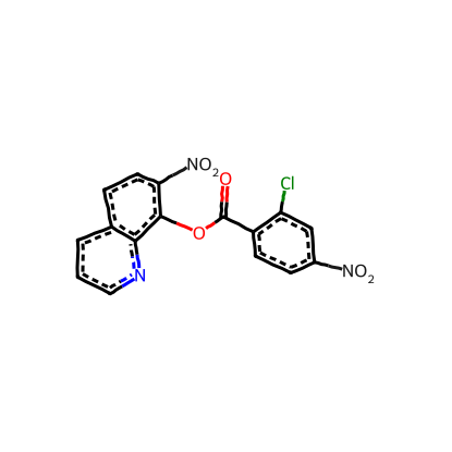 O=C(Oc1c([N+](=O)[O-])ccc2cccnc12)c1ccc([N+](=O)[O-])cc1Cl